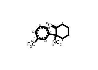 O=C1CCCCC1(c1cccc(C(F)(F)F)c1)[N+](=O)[O-]